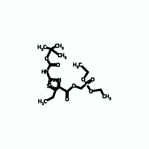 CCOP(=O)(COC(=O)c1nc(NC(=O)OC(C)(C)C)sc1CC)OCC